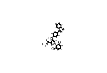 NC(=O)c1nn(-c2c(Cl)cccc2Cl)cc1Nc1ccc(-c2nnc3ccccn23)cc1